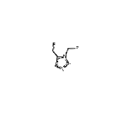 FCc1[c]n[c]n1CF